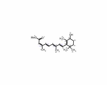 COC(=O)\C=C(C)/C=C/C=C(C)/C=C/C1=C(C)C(O)CCC1(C)C